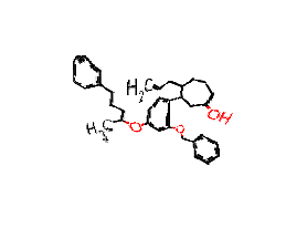 C=CCC1CCCC(O)CC1c1ccc(OC(C)CCCc2ccccc2)cc1OCc1ccccc1